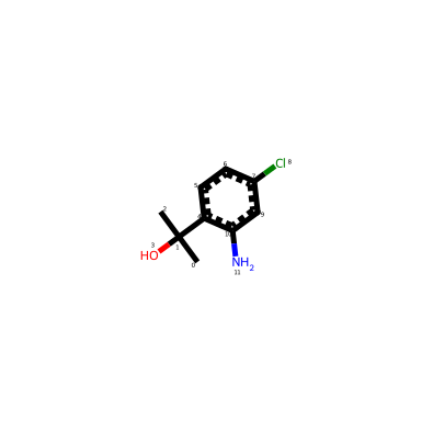 CC(C)(O)c1ccc(Cl)cc1N